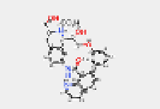 O=C(Nc1ccc(C[C@@H](CO)N(C[C@H](O)COc2ccccc2)C(=O)O)cc1)c1cccc2cccnc12